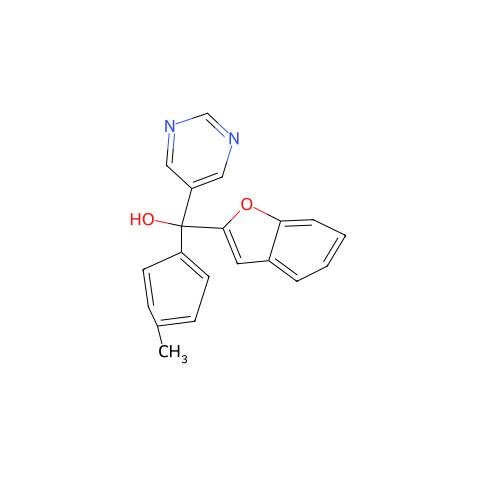 Cc1ccc(C(O)(c2cncnc2)c2cc3ccccc3o2)cc1